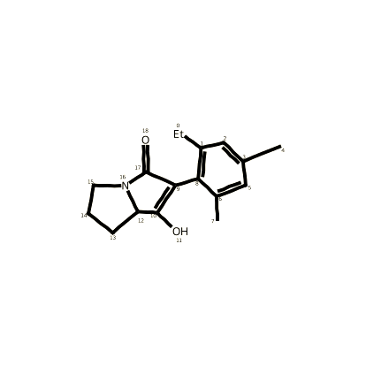 CCc1cc(C)cc(C)c1C1=C(O)C2CCCN2C1=O